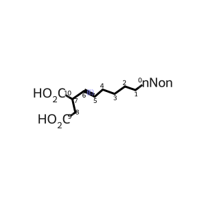 CCCCCCCCCCCCC/C=C/C(CC(=O)O)C(=O)O